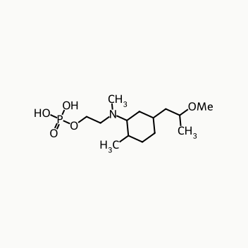 COC(C)CC1CCC(C)C(N(C)CCOP(=O)(O)O)C1